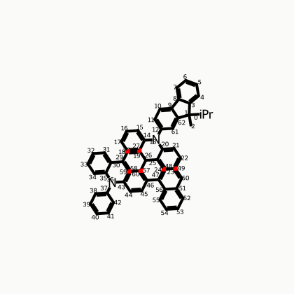 CC(C)C1(C)c2ccccc2-c2ccc(N(c3ccccc3)c3ccccc3C3C=CC(c4ccccc4N(c4ccccc4)c4ccc(-c5cccc6ccccc56)cc4)=CC3)cc21